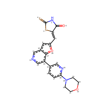 O=C1NC(=S)S/C1=C\c1cc2cncc(-c3ccc(N4CCOCC4)nc3)c2o1